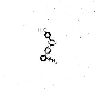 COc1ccccc1N1CCN(c2cncc(-c3ccc(C)cc3)n2)CC1